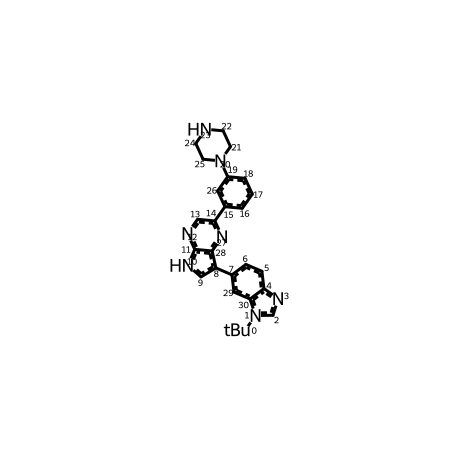 CC(C)(C)n1cnc2ccc(-c3c[nH]c4ncc(-c5cccc(N6CCNCC6)c5)nc34)cc21